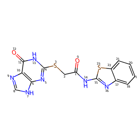 O=C(CSc1nc2[nH]cnc2c(=O)[nH]1)Nc1nc2ccccc2s1